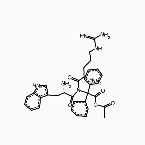 CC(=O)OC(=O)C(c1ccccc1)(c1ccccc1)N(C(=O)[C@@H](N)CCCNC(=N)N)C(=O)[C@@H](N)Cc1c[nH]c2ccccc12